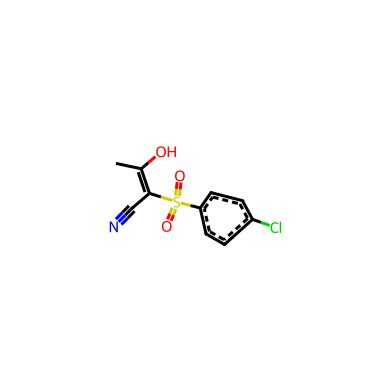 CC(O)=C(C#N)S(=O)(=O)c1ccc(Cl)cc1